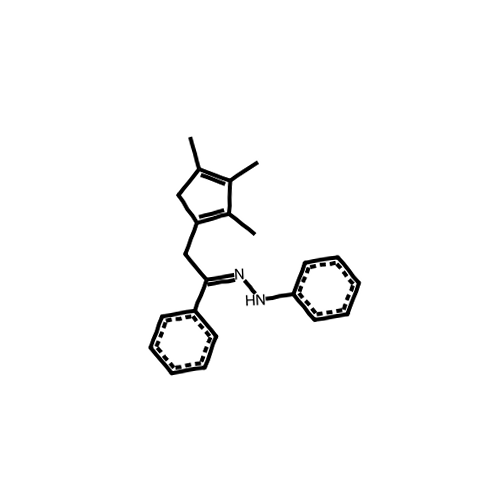 CC1=C(C)C(C)=C(CC(=NNc2ccccc2)c2ccccc2)C1